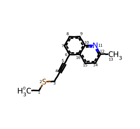 CCSCC#Cc1cccc2nc(C)ccc12